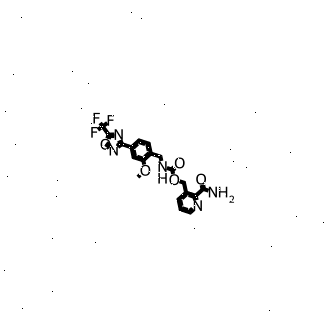 COc1cc(-c2noc(C(F)(F)F)n2)ccc1CNC(=O)OCc1cccnc1C(N)=O